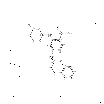 C[C@H]1CCC[C@@H](Nc2nc(N[C@@H]3CCc4cccnc4C3)ncc2C(N)=O)C1